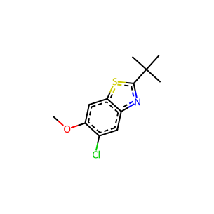 COc1cc2sc(C(C)(C)C)nc2cc1Cl